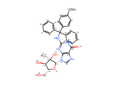 COc1ccc(C(Nc2nc3c(ncn3[C@@H]3O[C@H](CO)[C@@H](O)[C@@]3(C)O)c(=O)[nH]2)(c2ccccc2)c2ccccc2)cc1